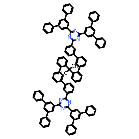 CC(C)(c1ccccc1-c1cccc(-c2cccc(-c3nc(-c4cc(-c5ccccc5)cc(-c5ccccc5)c4)nc(-c4cc(-c5ccccc5)cc(-c5ccccc5)c4)n3)c2)c1)c1ccccc1-c1cccc(-c2cccc(-c3nc(-c4cc(-c5ccccc5)cc(-c5ccccc5)c4)nc(-c4cc(-c5ccccc5)cc(-c5ccccc5)c4)n3)c2)c1